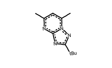 Cc1cc(C)n2nc(C(C)(C)C)nc2n1